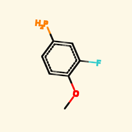 COc1ccc(P)cc1F